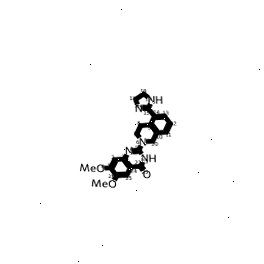 COc1cc2nc(N3CCc4c(cccc4C4=NCCN4)C3)[nH]c(=O)c2cc1OC